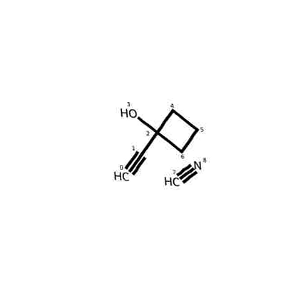 C#CC1(O)CCC1.C#N